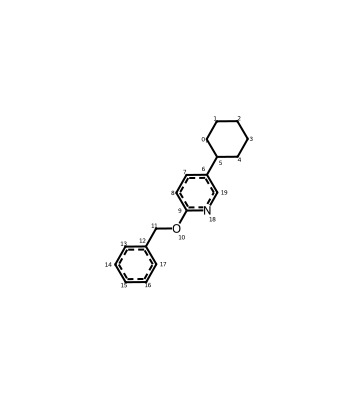 [CH]1CCCCC1c1ccc(OCc2ccccc2)nc1